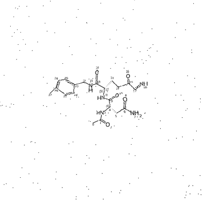 CC(=O)N[C@@H](CC(N)=O)C(=O)N[C@@H](CCC(=O)C=N)C(=O)NCc1ccc(C)cc1